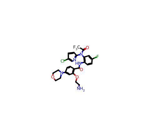 NCCOc1cc(N2CCOCC2)ccc1C(=O)Nc1ccc(F)cc1N(C(=O)C(F)(F)F)c1ccc(Cl)cn1